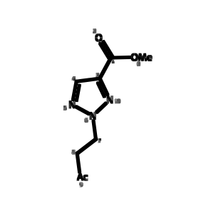 COC(=O)c1cnn(CCC(C)=O)n1